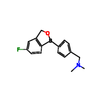 CN(C)Cc1ccc(B2OCc3cc(F)ccc32)cc1